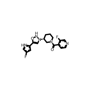 O=C(c1ccncc1F)N1CCC[C@H](N2C=C(c3cc(F)c[nH]3)ON2)C1